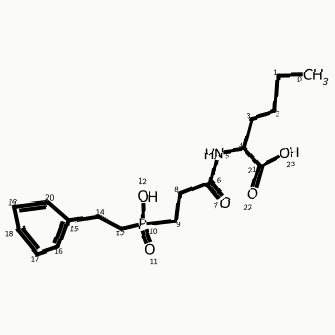 CCCCC(NC(=O)CCP(=O)(O)CCc1ccccc1)C(=O)O